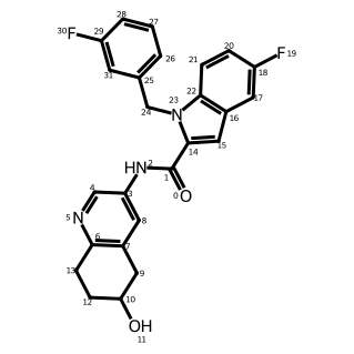 O=C(Nc1cnc2c(c1)CC(O)CC2)c1cc2cc(F)ccc2n1Cc1cccc(F)c1